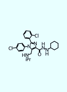 CC(C)NCc1c(C(=O)NNC2CCCCC2)nc(-c2ccccc2Cl)n1-c1ccc(Cl)cc1